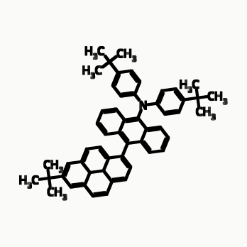 CC(C)(C)C1=CC2=CC=C3C(c4c5ccccc5c(N(c5ccc(C(C)(C)C)cc5)c5ccc(C(C)(C)C)cc5)c5ccccc45)=CC=C4C=CC(=C1)C2C43